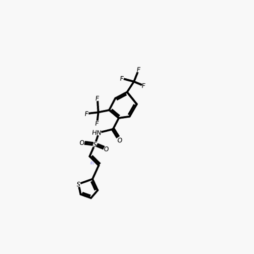 O=C(NS(=O)(=O)/C=C/c1cccs1)c1ccc(C(F)(F)F)cc1C(F)(F)F